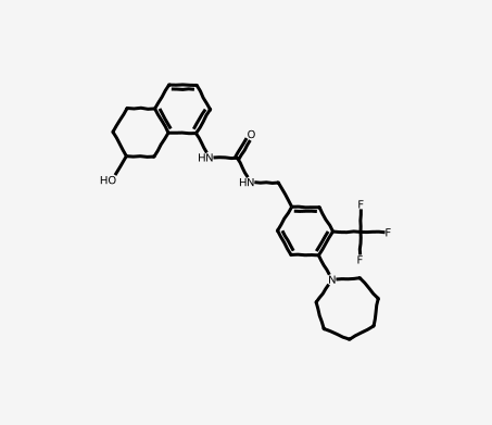 O=C(NCc1ccc(N2CCCCCC2)c(C(F)(F)F)c1)Nc1cccc2c1CC(O)CC2